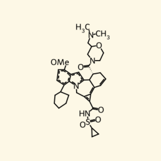 COc1ccc(C2CCCCC2)c2c1cc1n2CC2=C(C(=O)NS(=O)(=O)C3CC3)C2=C2C=CC[C@@H](C(=O)N3CCOC(CN(C)C)C3)C21